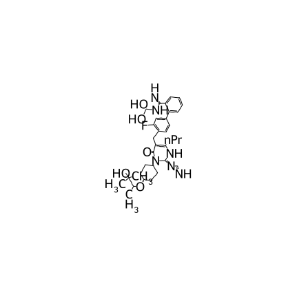 CCCc1[nH]/c(=N\C=N)n([C@H]2CC[C@H](OC(C)C(C)(C)O)CC2)c(=O)c1Cc1ccc(-c2ccccc2C(=N)NC(O)O)cc1F